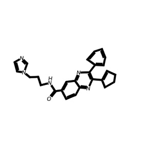 O=C(NCCCn1ccnc1)c1ccc2nc(C3=CCCC3)c(-c3ccccc3)nc2c1